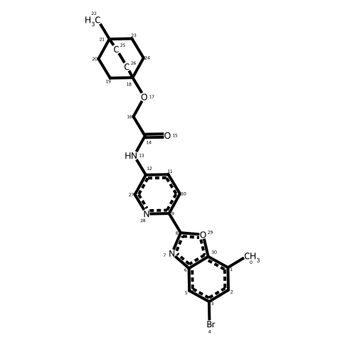 Cc1cc(Br)cc2nc(-c3ccc(NC(=O)COC45CCC(C)(CC4)CC5)cn3)oc12